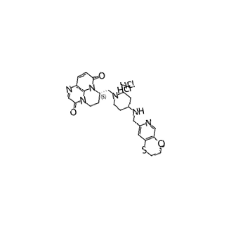 Cl.Cl.O=c1cnc2ccc(=O)n3c2n1CC[C@H]3CN1CCC(NCc2cc3c(cn2)OCCS3)CC1